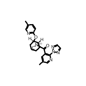 Cc1ccc(O[C@@H]2CC3CC[C@@H]2N(C(=O)c2cc(C)cnc2-n2nccn2)C3)nc1